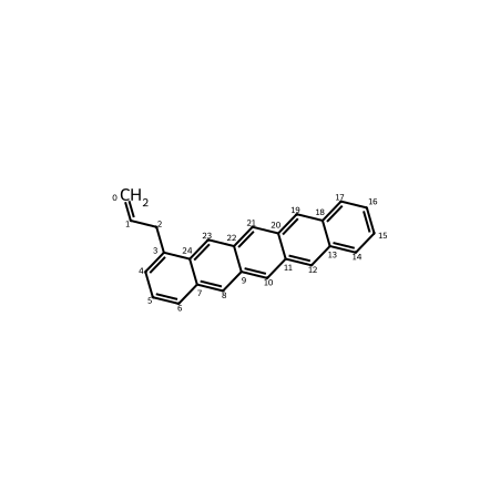 C=CCc1cccc2cc3cc4cc5ccccc5cc4cc3cc12